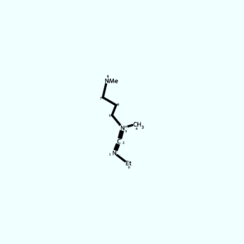 CCN=C=[N+](C)CCCNC